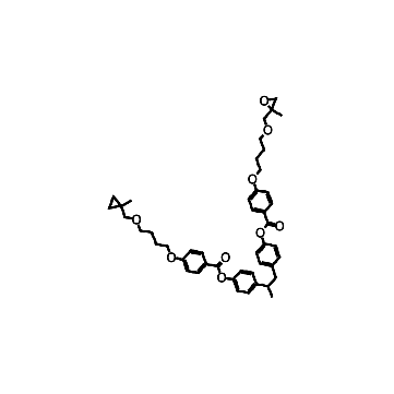 CC(Cc1ccc(OC(=O)c2ccc(OCCCCOCC3(C)CO3)cc2)cc1)c1ccc(OC(=O)c2ccc(OCCCCOCC3(C)CC3)cc2)cc1